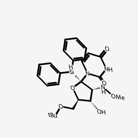 CON[C@@H]1[C@H](O)[C@@H](COC(C)(C)C)O[C@]1(n1ccc(=O)[nH]c1=O)[SiH](c1ccccc1)c1ccccc1